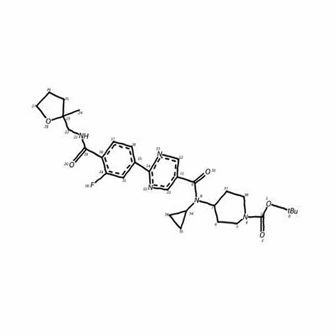 CC(C)(C)OC(=O)N1CCC(N(C(=O)c2cnc(-c3ccc(C(=O)NCC4(C)CCCO4)c(F)c3)nc2)C2CC2)CC1